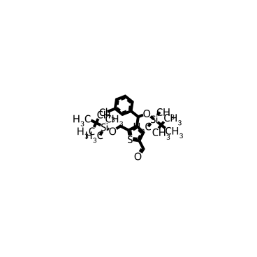 CC(C)(C)[Si](C)(C)OCc1sc(C=O)cc1C(O[Si](C)(C)C(C)(C)C)c1cccc(Cl)c1